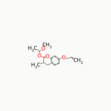 C=CCOc1ccc(CC(C)C(=O)OC(C)OC)cc1